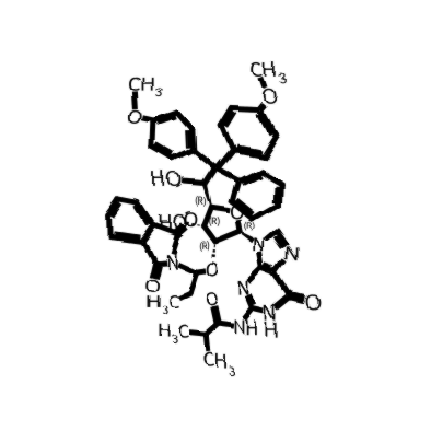 CCC(O[C@@H]1[C@H](O)[C@@H](C(O)C(c2ccccc2)(c2ccc(OC)cc2)c2ccc(OC)cc2)O[C@H]1n1cnc2c(=O)[nH]c(NC(=O)C(C)C)nc21)N1C(=O)c2ccccc2C1=O